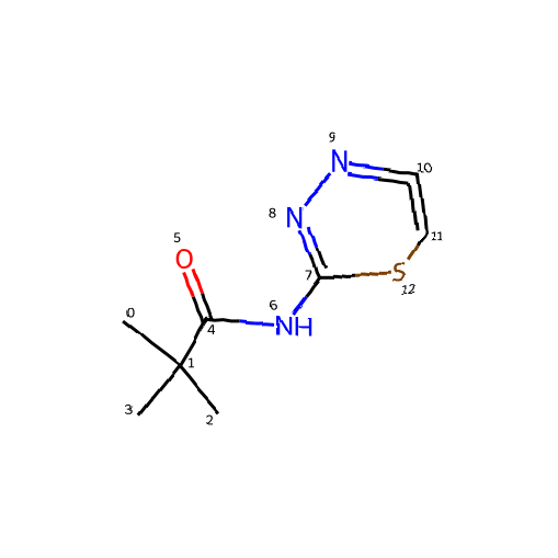 CC(C)(C)C(=O)NC1=NN=C=CS1